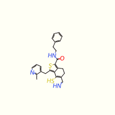 Cc1ncccc1Cc1sc(C(=O)NCCc2ccccc2)c2c1C(S)=C(C=N)CC2